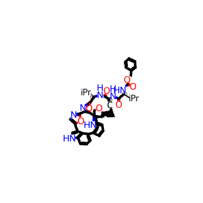 CC(C)[C@H](NC(=O)OCc1ccccc1)C(=O)N[C@H]1Cc2ccc3c(c2)[C@]24c5cccc(c5NC2O3)-c2cccc3[nH]cc(c23)-c2cnc(o2)-c2nc(oc24)[C@H](C(C)C)NC1=O